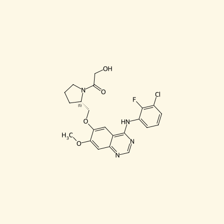 COc1cc2ncnc(Nc3cccc(Cl)c3F)c2cc1OC[C@@H]1CCCN1C(=O)CO